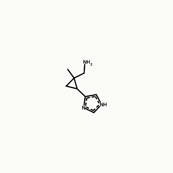 CC1(CN)CC1c1c[nH]cn1